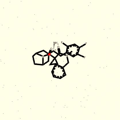 CN(Cc1ccccc1)C(=O)C1(C(=O)N2C3CCC2CC([C@H](N)Cc2cc(F)c(F)cc2F)C3)CC1